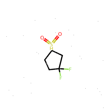 O=[SH](=O)C1CCC(F)(F)C1